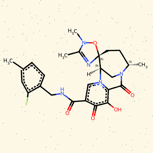 CC1=N[C@]2(CC[C@H](C)N3C[C@H]2n2cc(C(=O)NCc4ccc(C)cc4F)c(=O)c(O)c2C3=O)ON1C